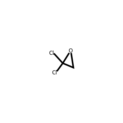 ClC1(Cl)CO1